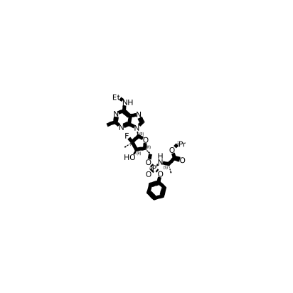 CCNc1nc(C)nc2c1ncn2[C@@H]1O[C@H](CO[P@](=O)(N[C@@H](C)C(=O)OC(C)C)Oc2ccccc2)[C@@H](O)[C@@]1(C)F